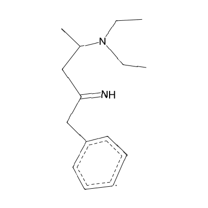 CCN(CC)C(C)CC(=N)Cc1cc[c]cc1